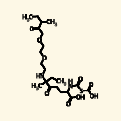 CCC(C)C(=O)COCCOCCNC(C)(CC)C(=O)CCC(NC(=O)SC(=O)O)C(=O)O